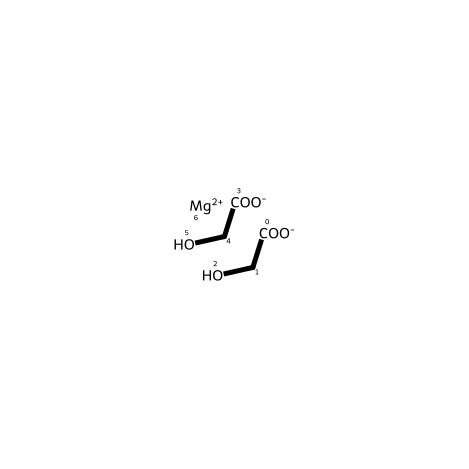 O=C([O-])CO.O=C([O-])CO.[Mg+2]